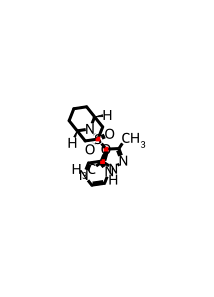 Cc1n[nH]c(C)c1S(=O)(=O)N1[C@@H]2CCC[C@H]1C[C@@H](Oc1cnccn1)C2